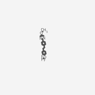 CCOc1cnc(-c2ccc(CCc3ccc(OC(F)(F)F)cc3)cc2)nc1